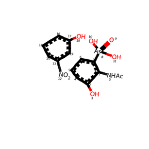 CC(=O)Nc1c(O)cccc1[As](=O)(O)O.O=[N+]([O-])c1cccc(O)c1